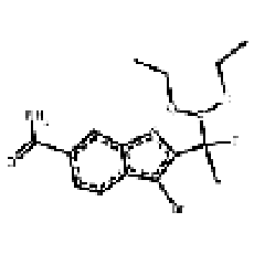 CCOP(OCC)C(F)(F)c1sc2cc(C(N)=O)ccc2c1Br